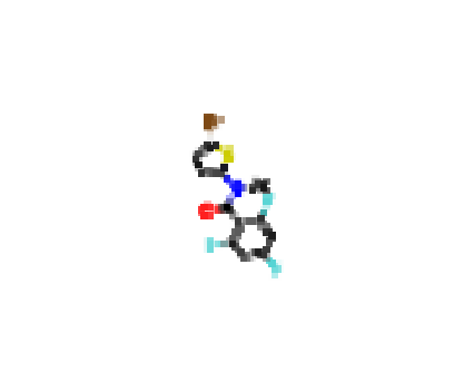 CC(=O)N(C(=O)c1c(F)cc(F)cc1F)c1ccc(Br)s1